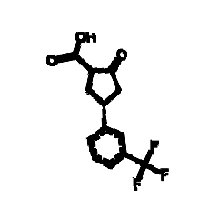 O=C(O)C1C[C@H](c2cccc(C(F)(F)F)c2)CC1=O